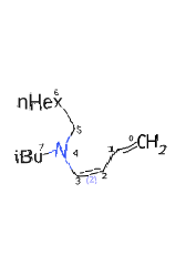 C=C/C=C\N(CCCCCCC)C(C)CC